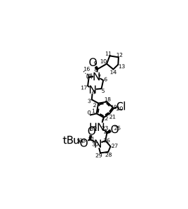 Cc1c(CN2CCN(C(=O)C3CCCC3)[C@@H](C)C2)cc(Cl)cc1NC(=O)C1CCCN1C(=O)OC(C)(C)C